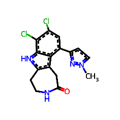 Cn1ccc(-c2cc(Cl)c(Cl)c3[nH]c4c(c23)CC(=O)NCC4)n1